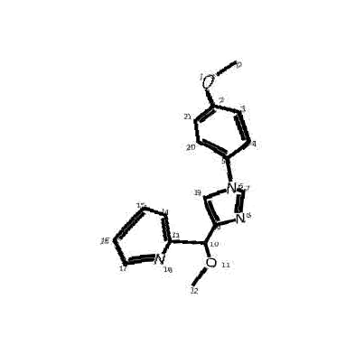 COc1ccc(-n2cnc(C(OC)c3ccccn3)c2)cc1